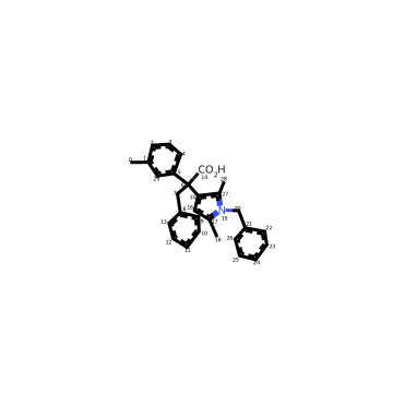 Cc1cccc(C(Cc2ccccc2)(C(=O)O)c2cc(C)n(Cc3ccccc3)c2C)c1